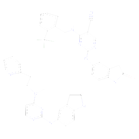 CN(CCc1ccccn1)c1ccnc(Nc2ccc3c(c2)CC(=O)N3)n1.N#Cc1cnc(Nc2ccc3c(c2)CC(=O)N3)nc1NCc1ccccc1C(F)(F)F